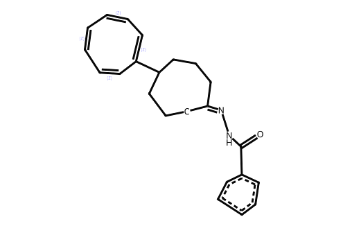 O=C(NN=C1CCCC(C2=C/C=C\C=C/C=C\2)CCC1)c1ccccc1